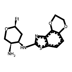 CC[C@H]1C[C@@H](Nc2nc3c4c(ccc3s2)OCCO4)[C@@H](N)CO1